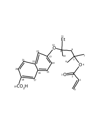 C=CC(=O)OC(C)(C)CC(C)(CC)Oc1ccc2cc(C(=O)O)ccc2c1